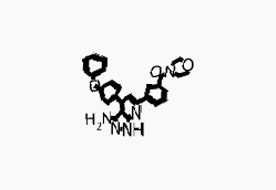 Nc1n[nH]c2nc(-c3cccc(C(=O)N4CCOCC4)c3)cc(-c3ccc(Oc4ccccc4)cc3)c12